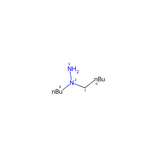 CCCCCN(N)CCCC